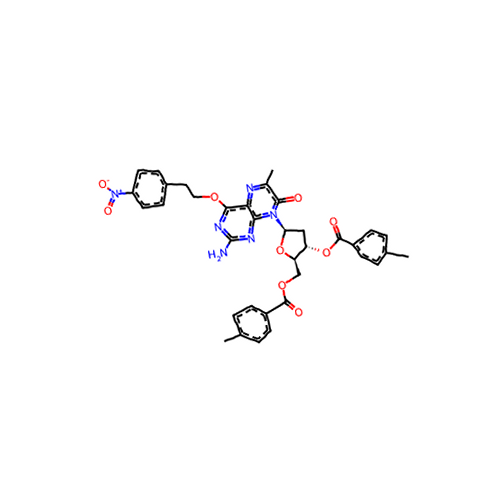 Cc1ccc(C(=O)OC[C@H]2O[C@@H](n3c(=O)c(C)nc4c(OCCc5ccc([N+](=O)[O-])cc5)nc(N)nc43)C[C@@H]2OC(=O)c2ccc(C)cc2)cc1